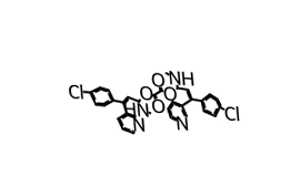 CNC(C=C(c1ccc(Cl)cc1)c1cccnc1)OC(=O)C(=O)OC(C=C(c1ccc(Cl)cc1)c1cccnc1)NC